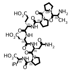 CC(C)[C@H](NC(=O)[C@@H]1CCCN1C(=O)[C@H](CC(N)=O)NC(=O)[C@H](CC(=O)O)NC(=O)[C@H](CCC(=O)O)NC(=O)[C@@H]1CCCN1C(=O)[C@@H]1CCCN1C(=O)[C@H](C)N)C(=O)O